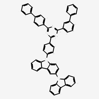 c1ccc(-c2ccc(-c3nc(-c4ccc(-n5c6ccccc6c6cc(-n7c8ccccc8c8ccccc87)ccc65)cc4)nc(-c4cccc(-c5ccccc5)c4)n3)cc2)cc1